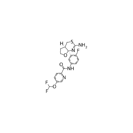 NC1=N[C@@]2(c3cc(NC(=O)c4ccc(OC(F)F)cn4)ccc3F)OCC[C@H]2CS1